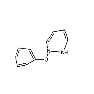 C1=CNN(Oc2ccccc2)C=C1